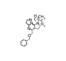 CC(C)(C)N1CCc2c(COCc3ccccc3)nc3ccnn3c21